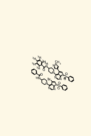 O=C(NC1CCN(c2ncnc3c2c(Br)cn3S(=O)(=O)c2ccccc2)CC1)c1ccccc1.[2H]c1c([2H])c([2H])c(C(=O)N([2H])C2CCN(c3ncnc4c3c(-c3cnn(C)c3)cn4S(=O)(=O)c3ccccc3)CC2)c([2H])c1[2H]